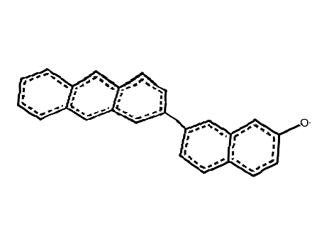 [O]c1ccc2ccc(-c3ccc4cc5ccccc5cc4c3)cc2c1